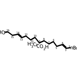 CC(=O)O.CCCCC=CCCCCCCCCC=CCCO